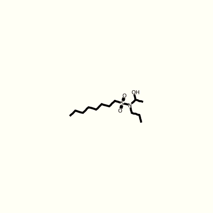 CCCCCCCCS(=O)(=O)N(CCC)C(C)O